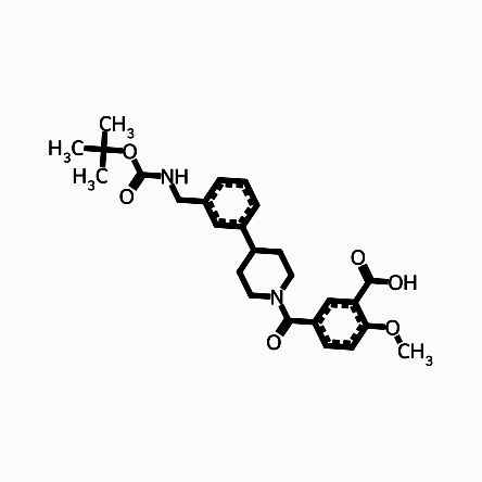 COc1ccc(C(=O)N2CCC(c3cccc(CNC(=O)OC(C)(C)C)c3)CC2)cc1C(=O)O